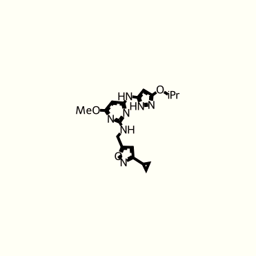 COc1cc(Nc2cc(OC(C)C)n[nH]2)nc(NCc2cc(C3CC3)no2)n1